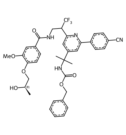 COc1cc(C(=O)NCC(c2cc(C(C)(C)NC(=O)OCc3ccccc3)cc(-c3ccc(C#N)cc3)n2)C(F)(F)F)ccc1OC[C@@H](C)O